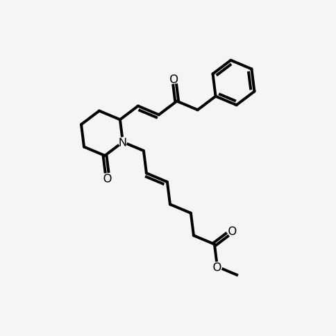 COC(=O)CCCC=CCN1C(=O)CCCC1C=CC(=O)Cc1ccccc1